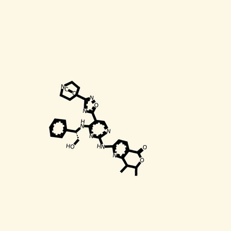 CC1OC(=O)c2ccc(Nc3ncc(-c4nc(C56CCN(CC5)CC6)no4)c(N[C@H](CO)c4ccccc4)n3)nc2C1C